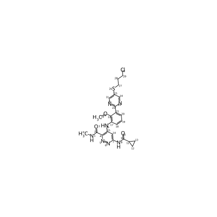 CNC(=O)c1nnc(NC(=O)C2CC2)cc1Nc1cccc(-c2ncc(SCCCCl)cn2)c1OC